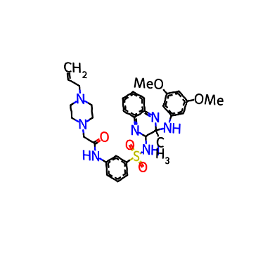 C=CCN1CCN(CC(=O)Nc2cccc(S(=O)(=O)NC3N=c4ccccc4=NC3(C)Nc3cc(OC)cc(OC)c3)c2)CC1